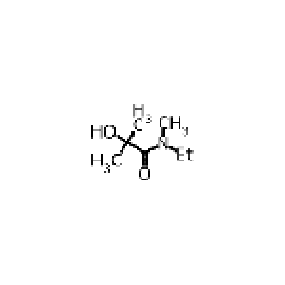 CCN(C)C(=O)C(C)(C)O